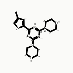 Cc1csc(-c2nc(N3CCOCC3)nc(N3CCOCC3)n2)c1